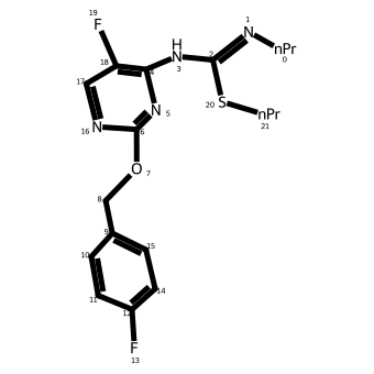 CCC/N=C(/Nc1nc(OCc2ccc(F)cc2)ncc1F)SCCC